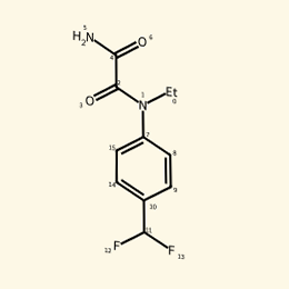 CCN(C(=O)C(N)=O)c1ccc(C(F)F)cc1